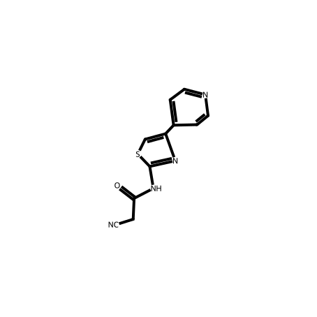 N#CCC(=O)Nc1nc(-c2ccncc2)cs1